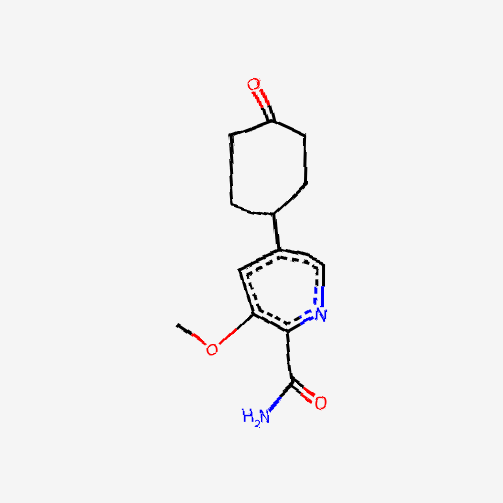 COc1cc(C2CCC(=O)CC2)cnc1C(N)=O